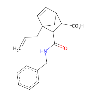 C=CCC12C=CC(C1)C(C(=O)O)C2C(=O)NCc1ccccc1